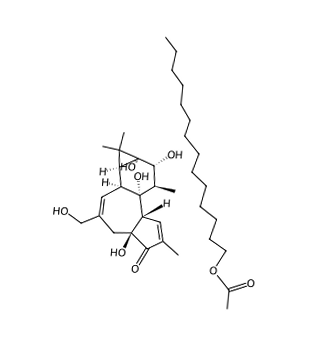 CC1=C[C@H]2[C@]3(O)[C@H](C)[C@@H](O)[C@@]4(O)[C@@H]([C@@H]3C=C(CO)C[C@@]2(O)C1=O)C4(C)C.CCCCCCCCCCCCCCOC(C)=O